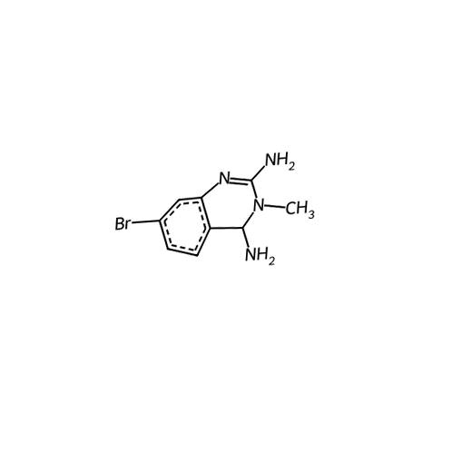 CN1C(N)=Nc2cc(Br)ccc2C1N